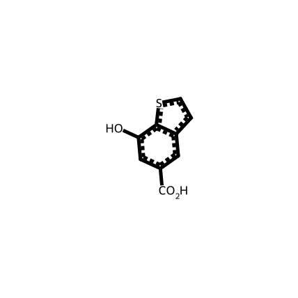 O=C(O)c1cc(O)c2sccc2c1